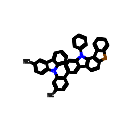 N#Cc1ccc(-c2ccc3c(c2)c2ccc4sc5ccccc5c4c2n3-c2ccccc2)c(-n2c3ccccc3c3cc(C#N)ccc32)c1